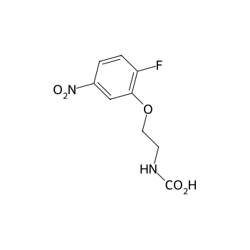 O=C(O)NCCOc1cc([N+](=O)[O-])ccc1F